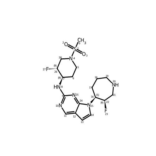 CS(=O)(=O)N1CC[C@@H](Nc2ncc3ccn([C@H]4CCCNC[C@H]4F)c3n2)[C@H](F)C1